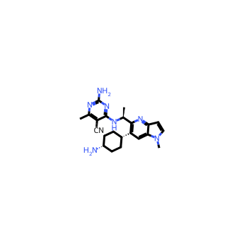 Cc1nc(N)nc(N[C@@H](C)c2nc3ccn(C)c3cc2[C@H]2CC[C@@H](N)CC2)c1C#N